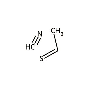 C#N.CC=S